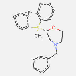 CCCc1ccccc1S(C)(c1ccccc1)[C@H]1CN(Cc2ccccc2)CCO1